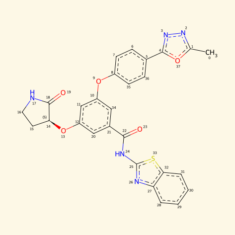 Cc1nnc(-c2ccc(Oc3cc(O[C@H]4CCNC4=O)cc(C(=O)Nc4nc5ccccc5s4)c3)cc2)o1